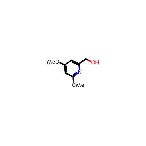 COc1cc(CO)nc(OC)c1